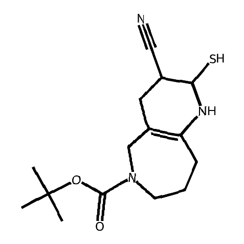 CC(C)(C)OC(=O)N1CCCC2=C(CC(C#N)C(S)N2)C1